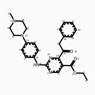 CCOC(=O)c1cnc(Nc2ccc(N3CCN(C)CC3)cc2)nc1C(=O)Cc1ccccc1